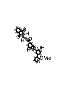 COc1ncccc1-c1ccc(O)c(-c2nc3cc(C(=O)NCCn4[nH]c(=O)c5ccccc5c4=O)ccc3[nH]2)c1